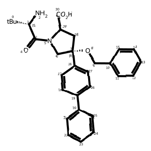 CC(C)(C)[C@H](N)C(=O)N1C[C@](OCc2ccccc2)(c2ccc(-c3ccccc3)cc2)CC1C(=O)O